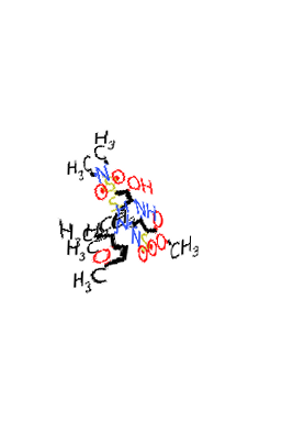 CCOC(=O)C1=C(Nc2c(C)sc(S(=O)(=O)N(CC)CC)c2O)C(N[C@@H](c2ccc(C)o2)C(C)(C)C)=NS1(=O)=O